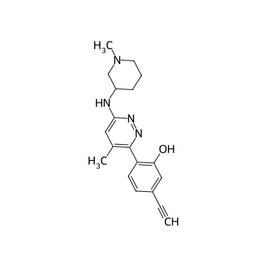 C#Cc1ccc(-c2nnc(NC3CCCN(C)C3)cc2C)c(O)c1